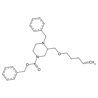 C=CCCCOCC1CN(C(=O)OCc2ccccc2)CCN1Cc1ccccc1